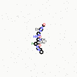 CCC1CN(C2COC2)CCN1c1ccc(Nc2cc(-c3cc(F)cc(N4CCn5c(cc6c5CCCC6)C4=O)c3COC(C)=O)cn(C)c2=O)nc1